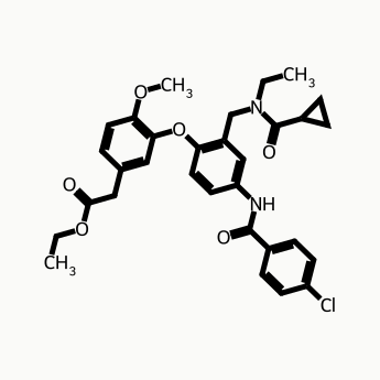 CCOC(=O)Cc1ccc(OC)c(Oc2ccc(NC(=O)c3ccc(Cl)cc3)cc2CN(CC)C(=O)C2CC2)c1